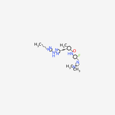 CCCCCn1cc(Nc2ncc(C#Cc3cc(C(=O)Nc4ccc(CN5CC[C@H](N(C)C)C5)c(F)c4)ccc3C)cn2)cn1